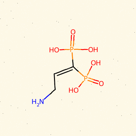 NCC=C(P(=O)(O)O)P(=O)(O)O